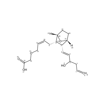 C=CCC(O)/C=C/[C@@H]1[C@H](C/C=C\COCC(=O)O)[C@@H]2CC[C@H]1O2